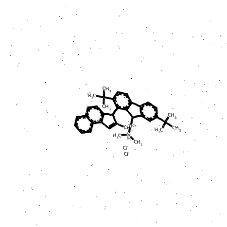 CC1=Cc2c(ccc3ccccc23)C1c1c(C(C)(C)C)ccc2c1[CH]([Zr+2][SiH](C)C)c1cc(C(C)(C)C)ccc1-2.[Cl-].[Cl-]